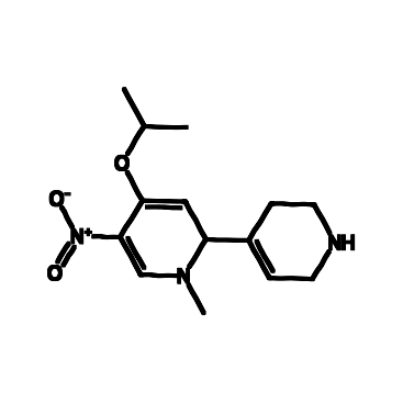 CC(C)OC1=CC(C2=CCNCC2)N(C)C=C1[N+](=O)[O-]